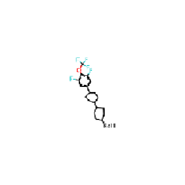 Fc1cc(C2CCC(C3CC[CH]([RaH])CC3)CC2)cc(F)c1OC(F)(F)F